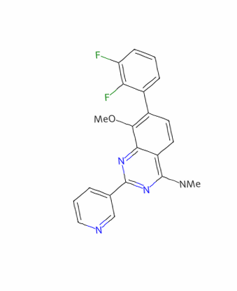 CNc1nc(-c2cccnc2)nc2c(OC)c(-c3cccc(F)c3F)ccc12